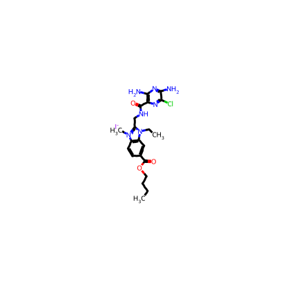 CCCCOC(=O)c1ccc2c(c1)n(CC)c(CNC(=O)c1nc(Cl)c(N)nc1N)[n+]2C.[I-]